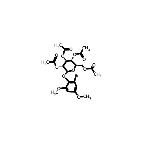 COc1cc(Br)c(O[C@@H]2O[C@H](COC(C)=O)[C@@H](OC(C)=O)[C@H](OC(C)=O)[C@H]2OC(C)=O)c(OC)c1